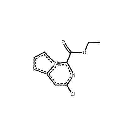 CCOC(=O)c1nc(Cl)cc2nccn12